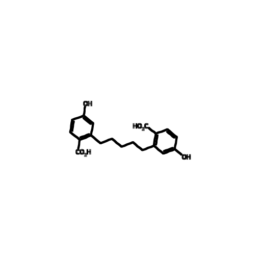 O=C(O)c1ccc(O)cc1CCCCCc1cc(O)ccc1C(=O)O